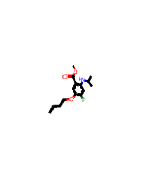 CCCCOc1cc(C(=O)OC)c(NC(C)C)cc1F